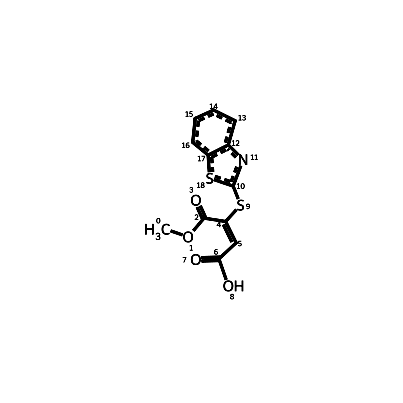 COC(=O)/C(=C\C(=O)O)Sc1nc2ccccc2s1